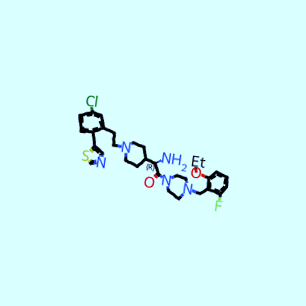 CCOc1cccc(F)c1CN1CCN(C(=O)[C@H](N)C2CCN(CCc3cc(Cl)ccc3-c3cncs3)CC2)CC1